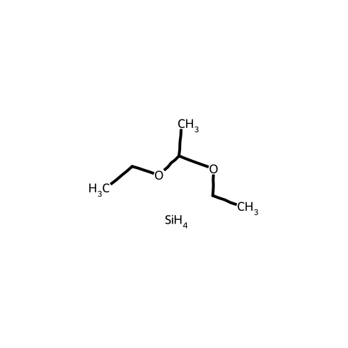 CCOC(C)OCC.[SiH4]